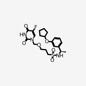 C[C@@H](NS(=O)(=O)CCCOCn1cc(F)c(=O)[nH]c1=O)c1cccc(OC2CCCC2)c1